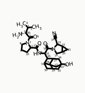 CC(C)[C@@H](N)C(=O)N1CCCC1C(=O)NC(C(=O)N1CC2CC2C1C#N)C1C2CC3CC1CC(O)(C3)C2